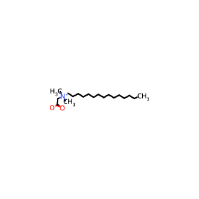 CCCCCCCCCCCCCCC[N+](C)(C)CC(=O)[O-]